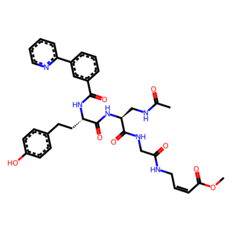 COC(=O)/C=C\CNC(=O)CNC(=O)[C@H](CNC(C)=O)NC(=O)[C@H](CCc1ccc(O)cc1)NC(=O)c1cccc(-c2ccccn2)c1